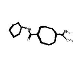 CC(N)C1CCCC(C(=O)NC2CCCCC2)CCC1